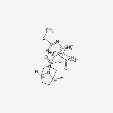 CSc1nc(Cl)c([N+](=O)[O-])c(N2C[C@H]3CC[C@@H](C2)N3C(=O)OC(C)(C)C)n1